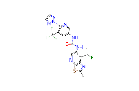 Cc1nc2c(C(C)F)c(NC(=O)Nc3cnc(-n4nccn4)c(C(F)(F)F)c3)cnc2s1